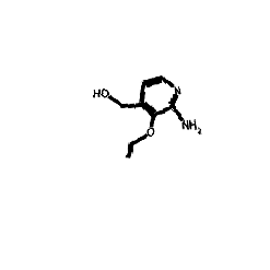 CCOc1c(CO)ccnc1N